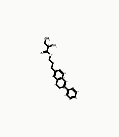 NCC(N)C(=O)OCCCc1ccc2c(c1)CCC(c1ccccc1)=C2